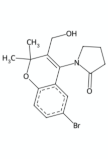 CC1(C)Oc2ccc(Br)cc2C(N2CCCC2=O)=C1CO